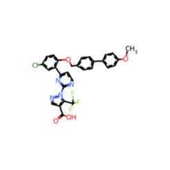 COc1ccc(-c2ccc(COc3ccc(Cl)cc3-c3ccnc(-n4ncc(C(=O)O)c4C(F)(F)F)n3)cc2)cc1